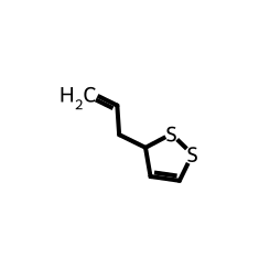 C=CCC1C=CSS1